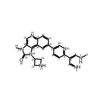 CN/C=C(\C=N)c1ccc(-c2ccc3ncc4c(c3c2)n(C2CNC2)c(=O)n4C)cn1